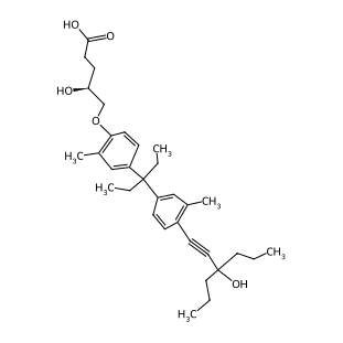 CCCC(O)(C#Cc1ccc(C(CC)(CC)c2ccc(OC[C@@H](O)CCC(=O)O)c(C)c2)cc1C)CCC